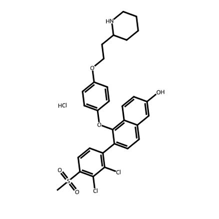 CS(=O)(=O)c1ccc(-c2ccc3cc(O)ccc3c2Oc2ccc(OCCC3CCCCN3)cc2)c(Cl)c1Cl.Cl